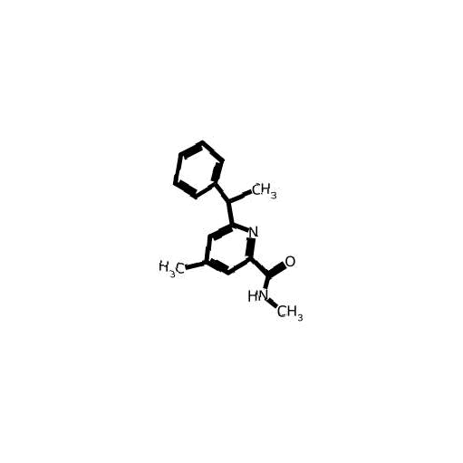 CNC(=O)c1cc(C)cc(C(C)c2ccccc2)n1